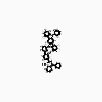 C1=CC2=C(c3ccccc3)N=C(c3ccc4c(c3)oc3c(-n5c6ccccc6c6cc7c(cc65)c5ccccc5n7-c5ccccc5)cccc34)NC2C=C1